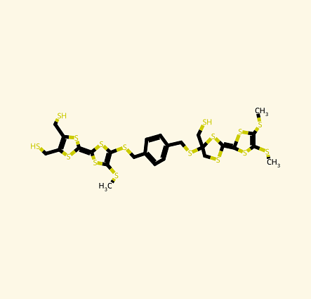 CSC1=C(SC)SC(=C2SCC(CS)(SCc3ccc(CSC4=C(SC)SC(=C5SC(CS)=C(CS)S5)S4)cc3)S2)S1